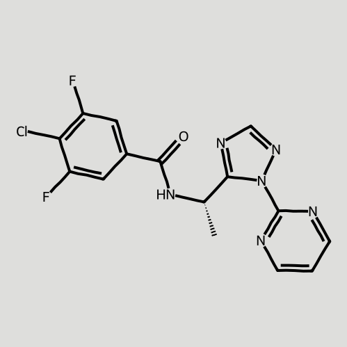 C[C@H](NC(=O)c1cc(F)c(Cl)c(F)c1)c1ncnn1-c1ncccn1